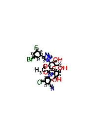 CO[C@@H]1[C@@H](n2cc(-c3cc(F)cc(Br)c3)nn2)[C@@H](O)[C@@H](CO)O[C@H]1C(=O)N(c1cc(Cl)cc(C#N)c1)[C@@H]1CCC[C@H]1O